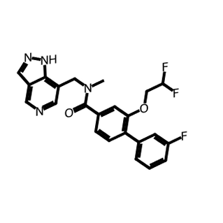 CN(Cc1cncc2cn[nH]c12)C(=O)c1ccc(-c2cccc(F)c2)c(OCC(F)F)c1